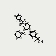 CC(C)(O)c1ccc(N2CCN(S(=O)(=O)c3cccs3)C[C@H]2CC2CCCCC2)cc1